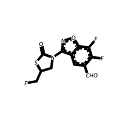 O=Cc1cc2c(N3CC(CF)SC3=O)noc2c(F)c1F